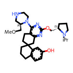 COC[C@H]1CNCCN1c1nc(OC[C@@H]2CCCN2C(C)C)nc2c1CCC1(CCCc3ccc(O)cc31)C2